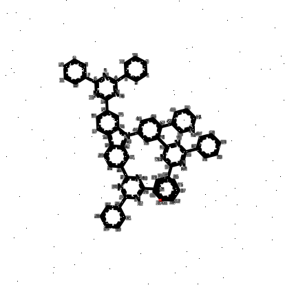 c1ccc(-c2nc(-c3ccccc3)nc(-c3ccc4c5ccc(-c6nc(-c7ccccc7)nc(-c7ccccc7)n6)cc5n(-c5ccc(-c6cccnc6)c(-c6nc(-c7ccccc7)nc(-c7ccccc7)n6)c5)c4c3)n2)cc1